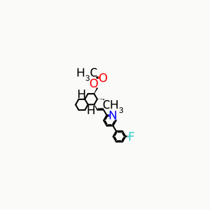 CC[C@H]1[C@H](COC(C)=O)C[C@@H]2CCCC[C@H]2[C@@H]1/C=C/c1ccc(-c2cccc(F)c2)cn1